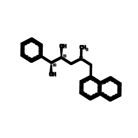 CN(Cc1cccc2ccccc12)C[C@@H](O)[C@H](O)c1ccccc1